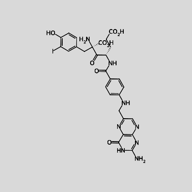 Nc1nc2ncc(CNc3ccc(C(=O)N[C@@H](CCC(=O)O)C(=O)[C@](N)(Cc4ccc(O)c(I)c4)C(=O)O)cc3)nc2c(=O)[nH]1